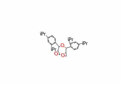 CC(C)c1ccc(C(OC(c2ccc(C(C)C)cc2C(C)C)C2CO2)C2CO2)c(C(C)C)c1